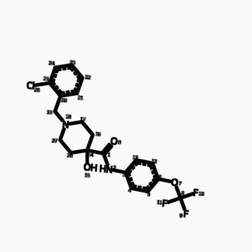 O=C(Nc1ccc(OC(F)(F)F)cc1)C1(O)CCN(Cc2ccccc2Cl)CC1